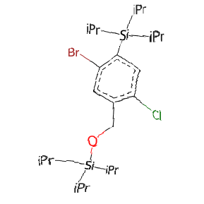 CC(C)[Si](OCc1cc(Br)c([Si](C(C)C)(C(C)C)C(C)C)cc1Cl)(C(C)C)C(C)C